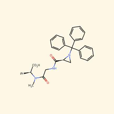 CC(C)[C@@H](C(=O)O)N(C)C(=O)CNC(=O)[C@@H]1CN1C(c1ccccc1)(c1ccccc1)c1ccccc1